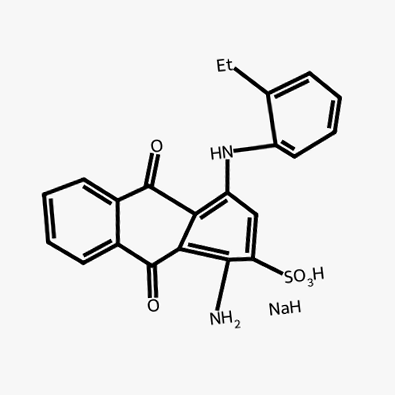 CCc1ccccc1Nc1cc(S(=O)(=O)O)c(N)c2c1C(=O)c1ccccc1C2=O.[NaH]